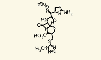 CCCCON=C(C(=O)NC1C(=O)N2C(C(=O)O)=C(CSc3nnnn3C)CS[C@@H]12)c1csc(N)n1